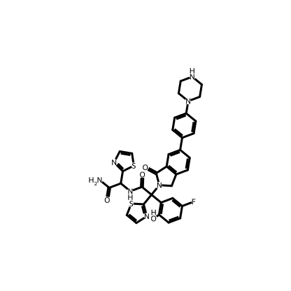 NC(=O)C(NC(=O)C(c1nccs1)(c1cc(F)ccc1O)N1Cc2ccc(-c3ccc(N4CCNCC4)cc3)cc2C1=O)c1nccs1